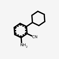 N#Cc1c(N)cccc1C1CCCCC1